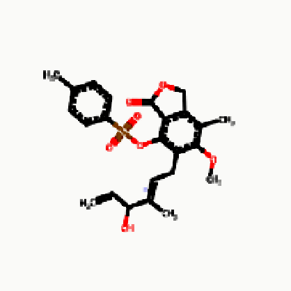 C=CC(O)/C(C)=C/Cc1c(OC)c(C)c2c(c1OS(=O)(=O)c1ccc(C)cc1)C(=O)OC2